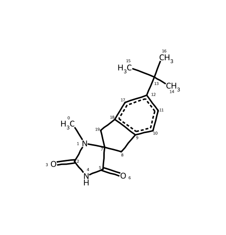 CN1C(=O)NC(=O)C12Cc1ccc(C(C)(C)C)cc1C2